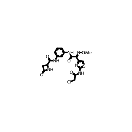 CON=C(C(=O)Nc1cccc(NC(=O)C2CC(=O)N2)c1)c1csc(NC(=O)CCl)n1